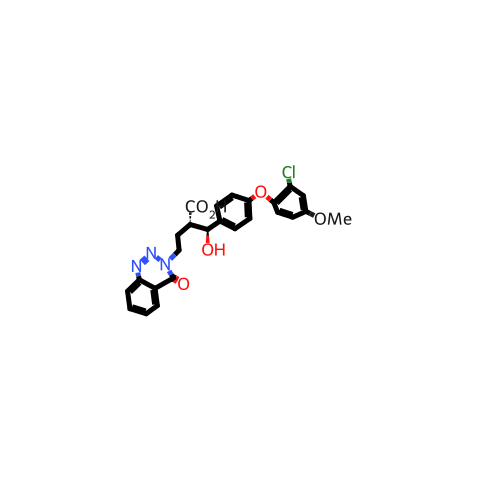 COc1ccc(Oc2ccc([C@@H](O)[C@H](CCn3nnc4ccccc4c3=O)C(=O)O)cc2)c(Cl)c1